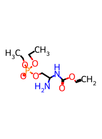 C=COC(=O)NC(N)COP(=O)(OCC)OCC